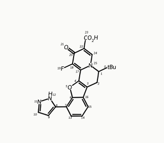 CC(C)(C)C1Cc2c(oc3c(-c4ccn[nH]4)cccc23)-c2c(F)c(=O)c(C(=O)O)cn21